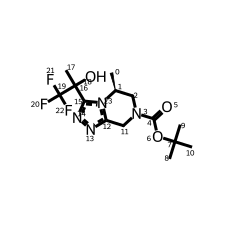 C[C@H]1CN(C(=O)OC(C)(C)C)Cc2nnc(C(C)(O)C(F)(F)F)n21